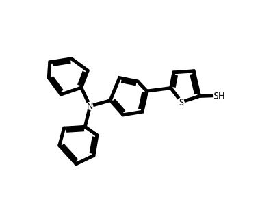 Sc1ccc(-c2ccc(N(c3ccccc3)c3ccccc3)cc2)s1